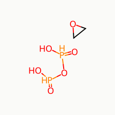 C1CO1.O=[PH](O)O[PH](=O)O